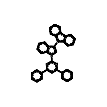 c1ccc(-c2cc(-c3ccccc3)nc(-n3cc(-n4c5ccccc5c5ccccc54)c4ccccc43)n2)cc1